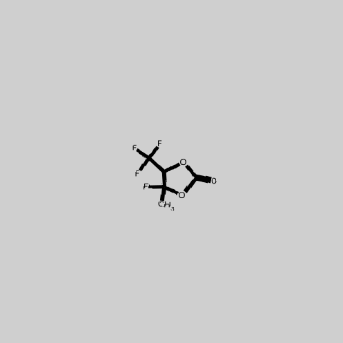 CC1(F)OC(=O)OC1C(F)(F)F